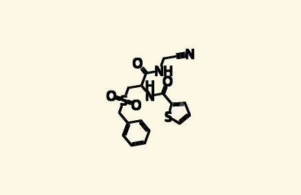 N#CCNC(=O)C(CS(=O)(=O)Cc1ccccc1)NC(=O)c1cccs1